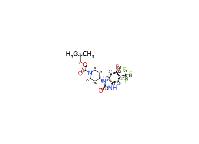 CC(C)COC(=O)N1CCC(n2c(=O)[nH]c3cc(C(F)(F)F)c(Br)cc32)CC1